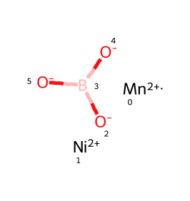 [Mn+2].[Ni+2].[O-]B([O-])[O-]